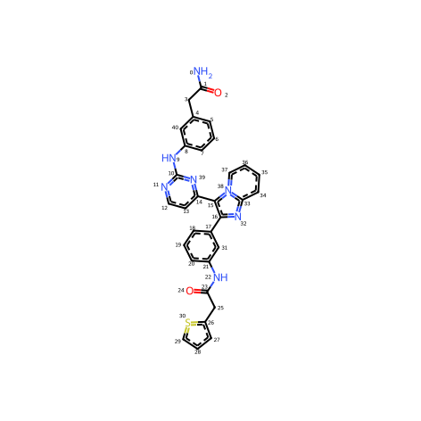 NC(=O)Cc1cccc(Nc2nccc(-c3c(-c4cccc(NC(=O)Cc5cccs5)c4)nc4ccccn34)n2)c1